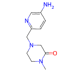 CN1CCN(Cc2ccc(N)cn2)CC1=O